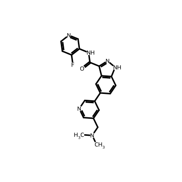 CN(C)Cc1cncc(-c2ccc3[nH]nc(C(=O)Nc4cnccc4F)c3c2)c1